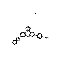 N#Cc1ccc(-c2cc3n(c2)Cc2cc(N4CC5(CCCC5)C4)ccc2-n2cnnc2-3)cc1